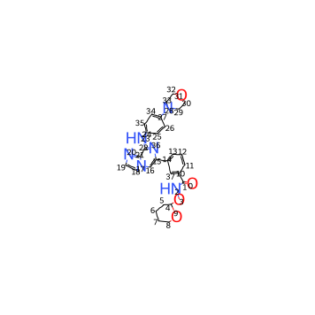 O=C(NOC1CCCCO1)c1cccc(-c2cn3ccnc3c(Nc3ccc(N4CCOCC4)cc3)n2)c1